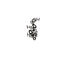 O=C(Nc1cccc(OC2CCNCC2)c1)c1cccc2[nH]c(-c3ccccc3C(F)(F)F)nc12